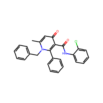 Cc1cc(=O)c(C(=O)Nc2ccccc2Cl)c(-c2ccccc2)n1Cc1ccccc1